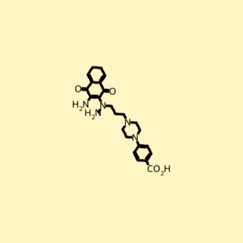 NC1=C(N(N)CCCN2CCN(c3ccc(C(=O)O)cc3)CC2)C(=O)C2=CCCC=C2C1=O